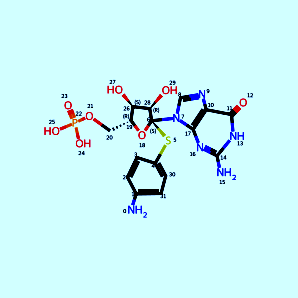 Nc1ccc(S[C@@]2(n3cnc4c(=O)[nH]c(N)nc43)O[C@H](COP(=O)(O)O)[C@@H](O)[C@H]2O)cc1